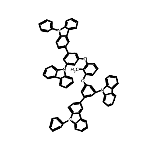 Cc1c(Oc2cc(-c3ccc4c(c3)c3ccccc3n4-c3ccccc3)cc(-n3c4ccccc4c4ccccc43)c2)cccc1Oc1cc(-c2ccc3c(c2)c2ccccc2n3-c2ccccc2)cc(-n2c3ccccc3c3ccccc32)c1